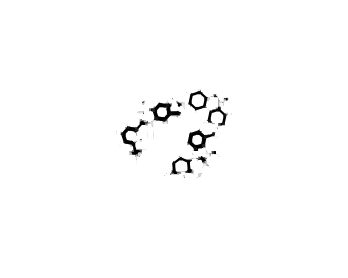 COc1cc2nn([C@H]3CC[C@H](CN(C)C4CCN(Cc5cccc6c5n(C)c(=O)n6C5CCC(=O)NC5=O)CC4)CC3)cc2cc1NC(=O)c1cccc(C(F)(F)F)n1